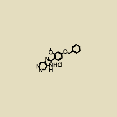 COc1cc(OCc2ccccc2)ccc1-c1nc2cnncc2[nH]1.Cl